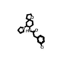 O=C(Cc1cccc(Cl)c1)NC1CCC2(CCCO2)CC1N1CCCC1